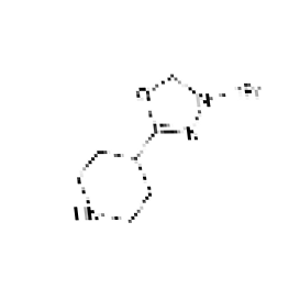 CCCN1COC(C2CCNCC2)=N1